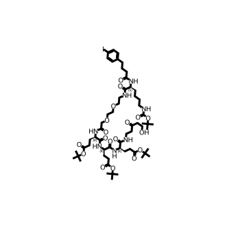 CC(C)(C)OC(=O)CC[C@@H](NC(=O)COCCOCCNC(=O)[C@H](CCCCNC(=O)OC(C)(C)C)NC(=O)CCCc1ccc(I)cc1)C(=O)N[C@H](CCC(=O)OC(C)(C)C)C(=O)N[C@H](CCC(=O)OC(C)(C)C)C(=O)NCCC(=O)CCO